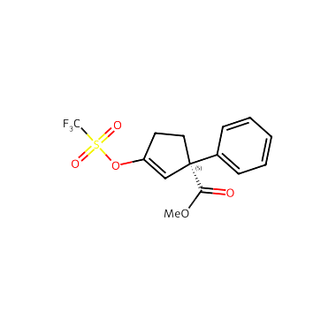 COC(=O)[C@]1(c2ccccc2)C=C(OS(=O)(=O)C(F)(F)F)CC1